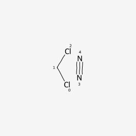 ClCCl.N#N